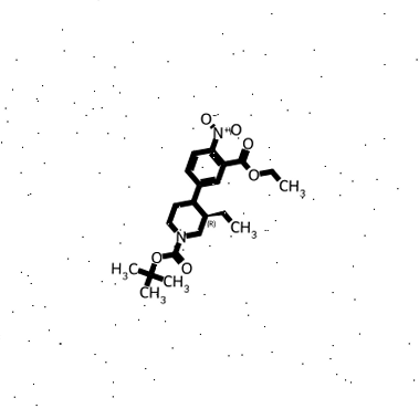 CCOC(=O)c1cc(C2CCN(C(=O)OC(C)(C)C)C[C@@H]2CC)ccc1[N+](=O)[O-]